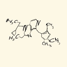 CCc1nc2c(-c3cc(C)c(C)cc3C)nccc2n1C(CC)C1CC1